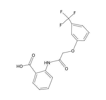 O=C(COc1cccc(C(F)(F)F)c1)Nc1ccccc1C(=O)O